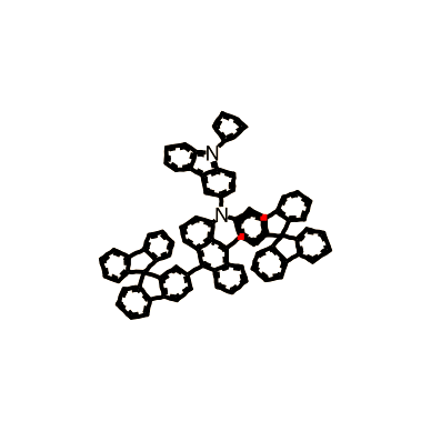 c1ccc(N(c2ccc3c(c2)c2ccccc2n3-c2ccccc2)c2cccc3c(-c4ccc5c(c4)C4(c6ccccc6-c6ccccc64)c4ccccc4-5)c4ccccc4c(-c4ccc5c(c4)C4(c6ccccc6-c6ccccc64)c4ccccc4-5)c23)cc1